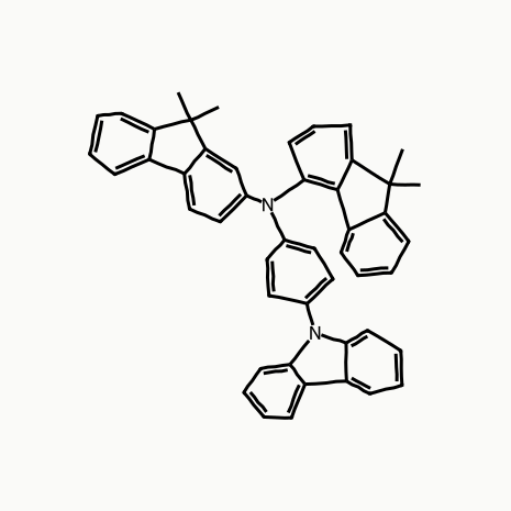 CC1(C)c2ccccc2-c2ccc(N(c3ccc(-n4c5ccccc5c5ccccc54)cc3)c3cccc4c3-c3ccccc3C4(C)C)cc21